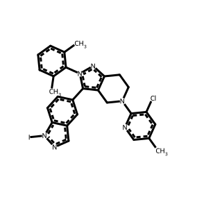 Cc1cnc(N2CCc3nn(-c4c(C)cccc4C)c(-c4ccc5c(cnn5I)c4)c3C2)c(Cl)c1